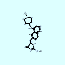 CC(=O)NC1=NC(=O)/C(=C/c2ccc3nccc(OC4CCN(C(C)=O)CC4)c3c2)S1